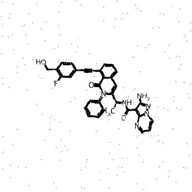 C[C@H](NC(=O)c1c(N)nn2cccnc12)c1cc2cccc(C#Cc3ccc(CO)c(F)c3)c2c(=O)n1-c1ccccc1